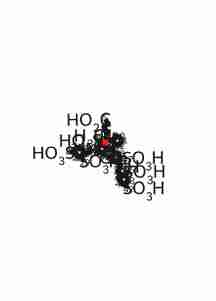 CN(CCCC(=O)O)C(=O)c1ccccc1C1=C2C=C(S(=O)(=O)O)C(NCc3ccc(S(=O)(=O)O)cc3S(=O)(=O)O)C=C2Oc2cc(NCc3ccc(S(=O)(=O)O)cc3S(=O)(=O)O)c(S(=O)(=O)O)cc21